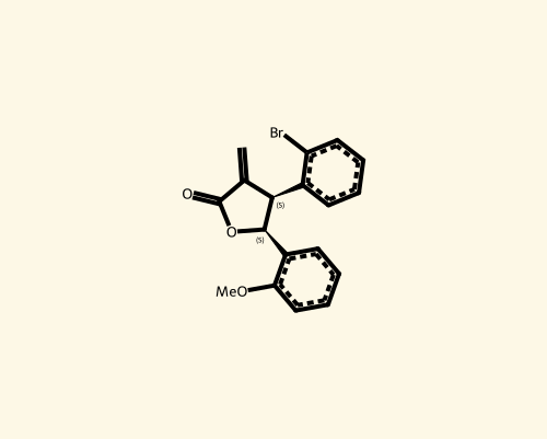 C=C1C(=O)O[C@H](c2ccccc2OC)[C@@H]1c1ccccc1Br